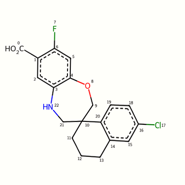 O=C(O)c1cc2c(cc1F)OCC1(CCCc3cc(Cl)ccc31)CN2